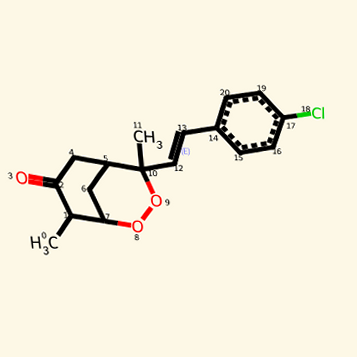 CC1C(=O)CC2CC1OOC2(C)/C=C/c1ccc(Cl)cc1